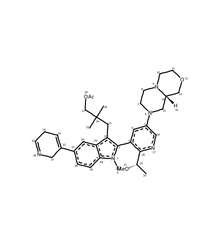 CCn1c(-c2cc(N3CCN4CCOC[C@@H]4C3)cnc2[C@H](C)OC)c(CC(C)(C)COC(C)=O)c2cc(C3=CCC=NC3)ccc21